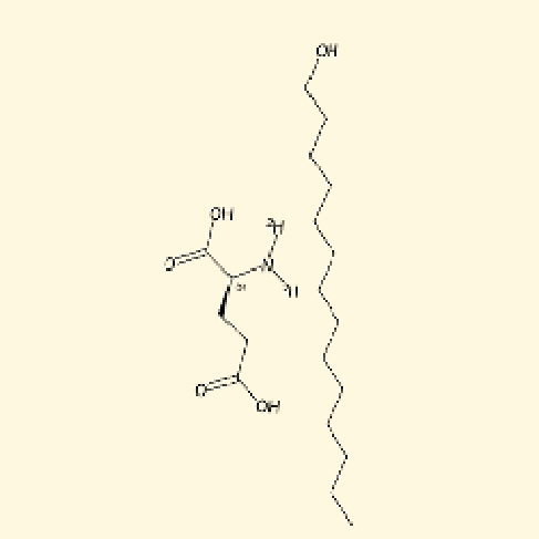 CCCCCCCCCCCCCCO.[2H]N([2H])[C@@H](CCC(=O)O)C(=O)O